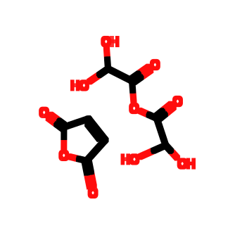 O=C(OC(=O)C(O)O)C(O)O.O=C1C=CC(=O)O1